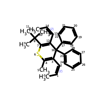 C/C=C\C1=C(C)SC(C(C)(C)C)=C(/C=C\C)C1(c1ccccc1)c1ccccc1